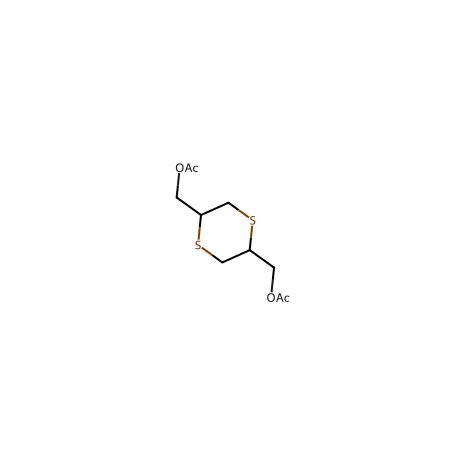 CC(=O)OCC1CSC(COC(C)=O)CS1